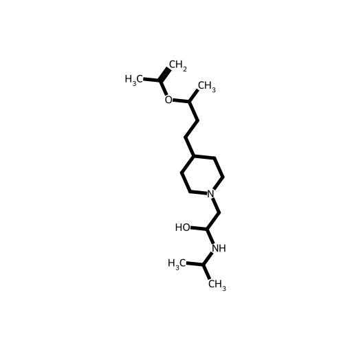 C=C(C)OC(C)CCC1CCN(CC(O)NC(C)C)CC1